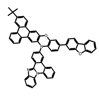 CC(C)(C)c1ccc2c(c1)c1ccccc1c1cc3c(cc21)Oc1cc(-c2ccc4c(c2)oc2ccccc24)ccc1N3c1ccc2c(c1)c1ccccc1n1c3ccccc3nc21